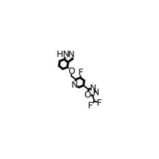 Fc1cc(-c2nnc(C(F)F)o2)cnc1COc1cccc2[nH]ncc12